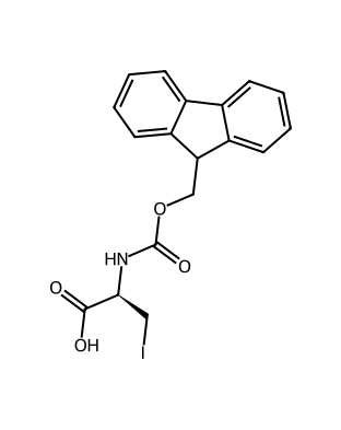 O=C(N[C@@H](CI)C(=O)O)OCC1c2ccccc2-c2ccccc21